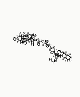 C[C@@H]1C[C@H]2[C@@H]3CCC4=CC(=O)C=C[C@]4(C)[C@@]3(F)[C@@H](O)C[C@]2(C)[C@@]1(O)C(=O)COC(=O)CCC(=O)OCc1ccc(C(CCN)C(=O)Nc2ccc3ccccc3c2)cc1